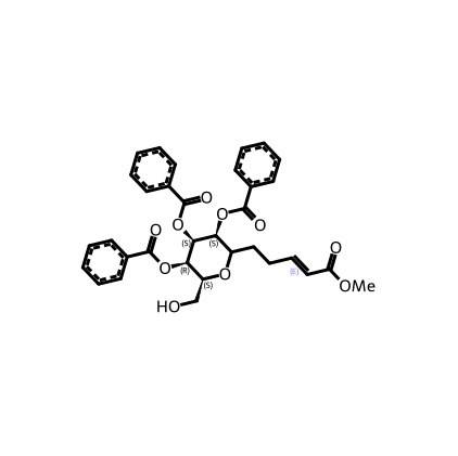 COC(=O)/C=C/CCC1O[C@@H](CO)[C@@H](OC(=O)c2ccccc2)[C@@H](OC(=O)c2ccccc2)[C@H]1OC(=O)c1ccccc1